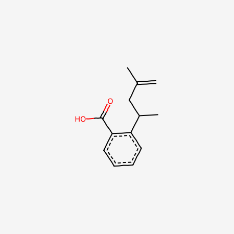 C=C(C)CC(C)c1ccccc1C(=O)O